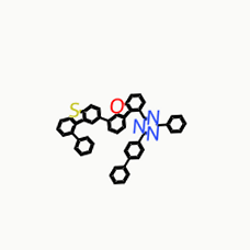 c1ccc(-c2ccc(-c3nc(-c4ccccc4)nc(-c4cccc5oc6c(-c7ccc8sc9cccc(-c%10ccccc%10)c9c8c7)cccc6c45)n3)cc2)cc1